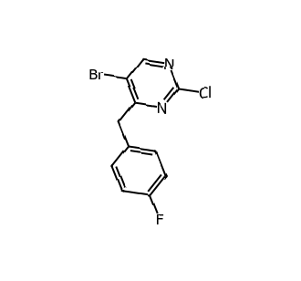 Fc1ccc(Cc2nc(Cl)ncc2Br)cc1